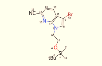 CC(C)(C)[Si](C)(C)OCCn1cc(Br)c2ccc(C#N)nc21